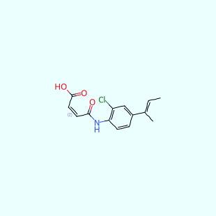 CC=C(C)c1ccc(NC(=O)/C=C\C(=O)O)c(Cl)c1